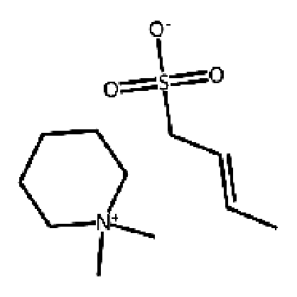 CC=CCS(=O)(=O)[O-].C[N+]1(C)CCCCC1